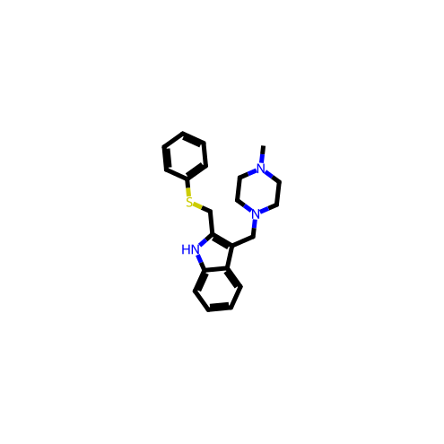 CN1CCN(Cc2c(CSc3ccccc3)[nH]c3ccccc23)CC1